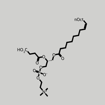 CCCCCCCC/C=C\CCCCCCCC(=O)OC[C@H](COP(=O)([O-])OCC[N+](C)(C)C)OC(=O)CCC(=O)O